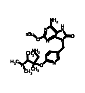 CCCCOc1nc(N)c2[nH]c(=O)n(Cc3ccc(OC(C)(CN)C(C)N(C)C)nc3)c2n1